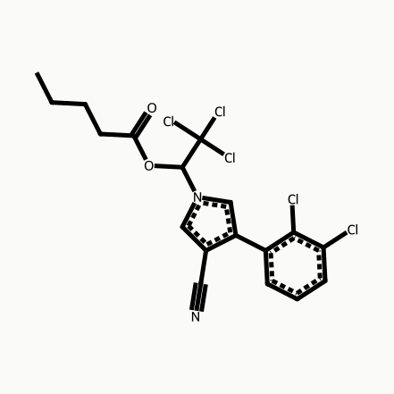 CCCCC(=O)OC(n1cc(C#N)c(-c2cccc(Cl)c2Cl)c1)C(Cl)(Cl)Cl